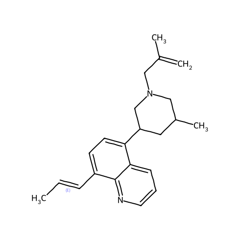 C=C(C)CN1CC(C)CC(c2ccc(/C=C/C)c3ncccc23)C1